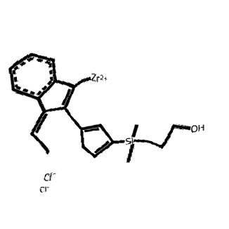 CC=C1C(C2=CC([Si](C)(C)CCO)=CC2)=[C]([Zr+2])c2ccccc21.[Cl-].[Cl-]